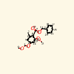 COCOc1cc(C)c(C(=O)OCc2ccccc2)c(OC)c1